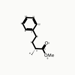 COC(=O)[C@H](C)CCc1ccccc1